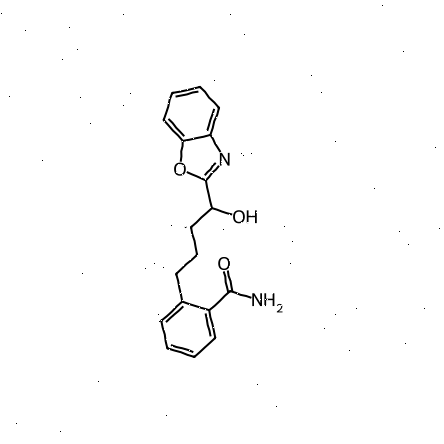 NC(=O)c1ccccc1CC[CH]C(O)c1nc2ccccc2o1